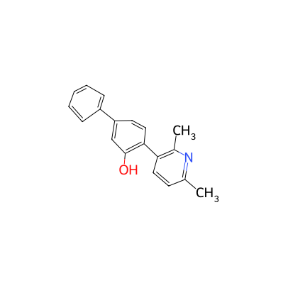 Cc1ccc(-c2ccc(-c3ccccc3)cc2O)c(C)n1